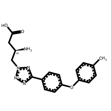 Cc1ccc(Oc2ccc(-c3nnn(C[C@H](N)CC(=O)O)n3)cc2)cc1